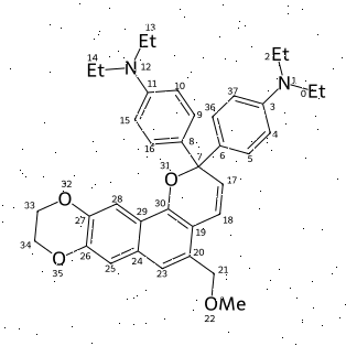 CCN(CC)c1ccc(C2(c3ccc(N(CC)CC)cc3)C=Cc3c(COC)cc4cc5c(cc4c3O2)OCCO5)cc1